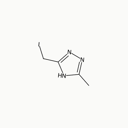 Cc1nnc(CI)[nH]1